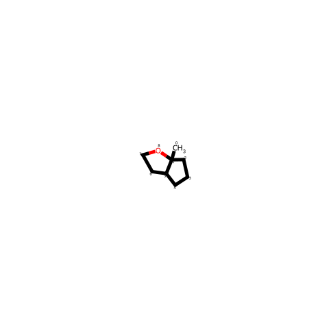 CC12CCCC1CCO2